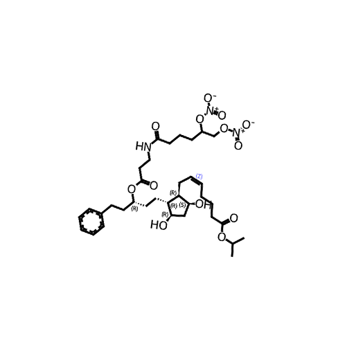 CC(C)OC(=O)CCC/C=C\C[C@@H]1[C@@H](CC[C@H](CCc2ccccc2)OC(=O)CCNC(=O)CCCC(CO[N+](=O)[O-])O[N+](=O)[O-])[C@H](O)C[C@@H]1O